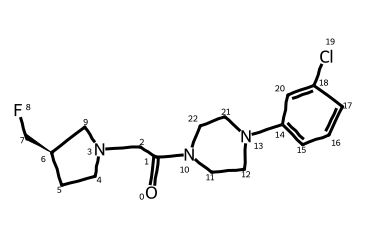 O=C(CN1CC[C@@H](CF)C1)N1CCN(c2cccc(Cl)c2)CC1